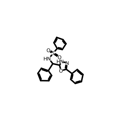 O=S(=O)(NC(c1ccccc1)C1NN=C(c2ccccc2)O1)c1ccccc1